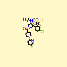 CN(C(=O)O)[C@@H]1CN(C(=O)C2CCN(c3ccc(F)cn3)CC2)C[C@@]1(C)c1ccc(Cl)cc1